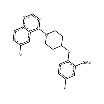 CSc1cc(F)ccc1OC1CCN(c2ccnc3ccc(Br)cc23)CC1